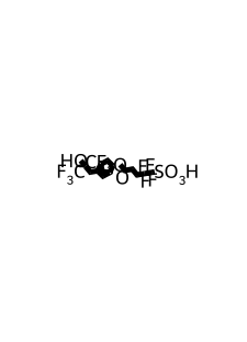 O=C(CCC(F)(F)C(F)(F)S(=O)(=O)O)OC1CC2CC1CC2CC(O)(C(F)(F)F)C(F)(F)F